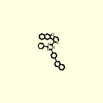 C1=CC(c2nc(-c3ccc(-c4ccc5ccccc5c4)cc3)nc(-c3nccc4oc5cc6ccccc6cc5c34)n2)=CCC1